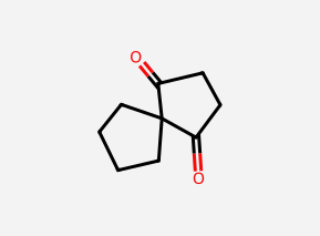 O=C1CCC(=O)C12CCCC2